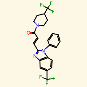 O=C(C=Cc1nc2cc(C(F)(F)F)ccc2n1-c1ccccc1)N1CCC(C(F)(F)F)CC1